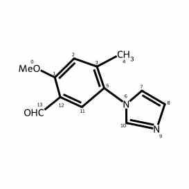 COc1cc(C)c(-n2ccnc2)cc1C=O